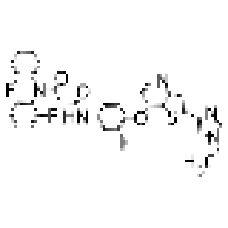 CCn1cnc(-c2cc3nccc(Oc4ccc(NC(=O)CC(=O)N(c5ccccc5F)c5ccccc5F)cc4F)c3s2)c1